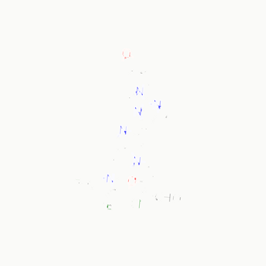 C/C(=C/C(OCc1ncc(F)cc1F)=C(/Cl)C=O)N(C)c1cc(-c2ccnc(N3CCC4(CC3)COC4)n2)ncc1C